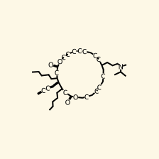 C=C=C=C=C1C(CCCCC)CC(=O)OCCCCCCCCC(CCCN(C)C(C)C)CCCCCCCCOC(=O)CC1CCCCC